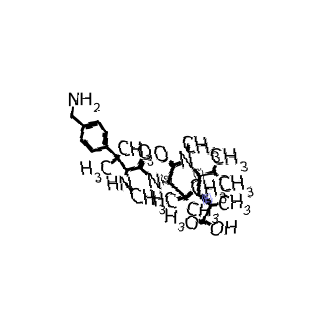 CNC(C(=O)N[C@H](C(=O)N(C)[C@H](/C=C(\C)C(=O)O)C(C)C)C(C)(C)C)C(C)(C)c1ccc(CN)cc1